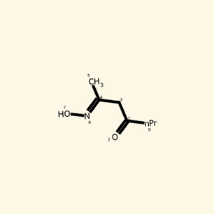 CCCC(=O)CC(C)=NO